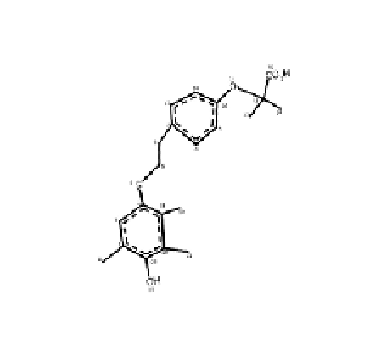 Cc1cc(SCCc2ccc(OC(C)(C)C(=O)O)cc2)c(C)c(C)c1O